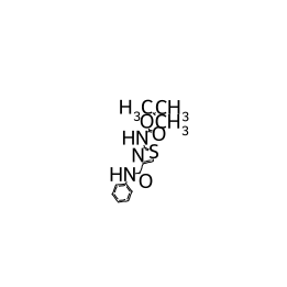 CC(C)(C)OC(=O)Nc1nc(C(=O)Nc2ccccc2)cs1